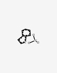 [Cl][Ti+]([Cl])[Cl].c1ccc2[cH-]ccc2c1